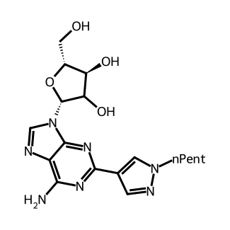 CCCCCn1cc(-c2nc(N)c3ncn([C@@H]4O[C@H](CO)[C@@H](O)C4O)c3n2)cn1